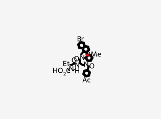 CC[C@@H](C(=O)N[C@H]1CN(C(=O)c2ccc(C(C)=O)cc2)c2ccccc2N(Cc2c(OC)ccc3cc(Br)ccc23)C1=O)N(C)C(=O)O